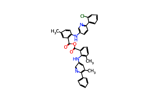 Cc1ccc(Nc2ccc(-c3ccccc3Cl)nc2)c(C(=O)OC(=O)c2cccc(C)c2Nc2cnc(-c3ccccc3)c(C)c2)c1